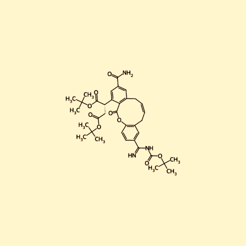 CC(C)(C)OC(=O)C[C@H](C(=O)OC(C)(C)C)c1cc(C(N)=O)cc2c1C(=O)Oc1ccc(C(=N)NC(=O)OC(C)(C)C)cc1CC=CC2